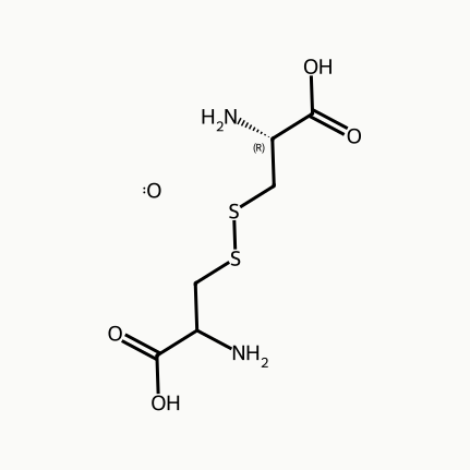 NC(CSSC[C@H](N)C(=O)O)C(=O)O.[O]